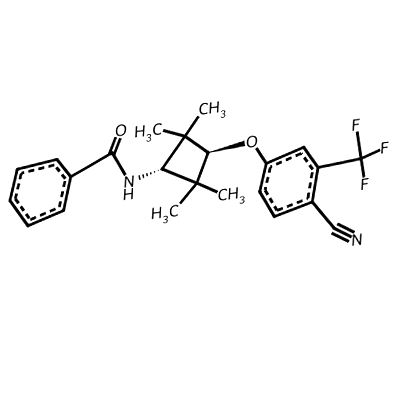 CC1(C)[C@H](NC(=O)c2ccccc2)C(C)(C)[C@H]1Oc1ccc(C#N)c(C(F)(F)F)c1